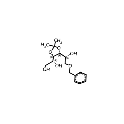 CC1(C)O[C@H]([C@H](O)CO)[C@@H]([C@H](O)COCc2ccccc2)O1